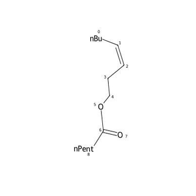 CCCC/C=C\CCOC(=O)CCCCC